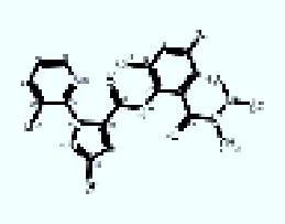 CC(=O)N(C)N(C)C(=O)c1cc(Cl)cc(Cl)c1NC(=O)c1cc(Br)nn1-c1ncccc1Cl